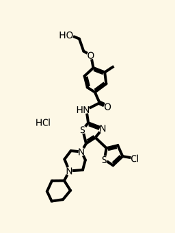 Cc1cc(C(=O)Nc2nc(-c3cc(Cl)cs3)c(N3CCN(C4CCCCC4)CC3)s2)ccc1OCCO.Cl